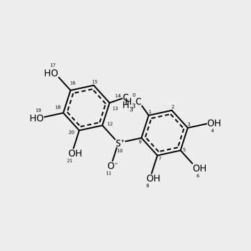 Cc1cc(O)c(O)c(O)c1[S+]([O-])c1c(C)cc(O)c(O)c1O